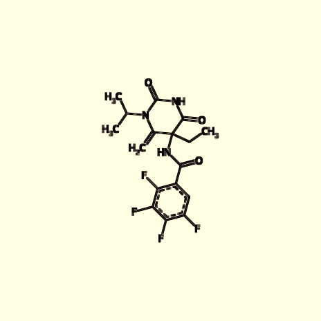 C=C1N(C(C)C)C(=O)NC(=O)C1(CC)NC(=O)c1cc(F)c(F)c(F)c1F